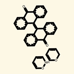 C1=CCOC=C1.C1=CNOC=C1.O=C1c2ccccc2C(=C2c3ccccc3C(=O)c3ccccc32)c2ccccc21